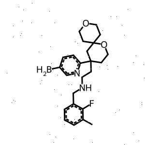 Bc1ccc(C2(CCNCc3cccc(C)c3F)CCOC3(CCOCC3)C2)nc1